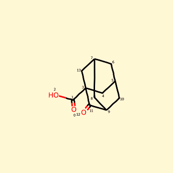 O=C(O)C12CC3CC(CC(C3)C1=O)C2